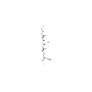 COC(=O)C(CC/C=C(\C)CCC[C@@H](/C=C(\C)CCC=O)OC(C)OC)OP=O